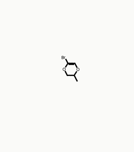 CC1COC(Br)=CO1